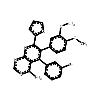 COc1ccc(-c2c(-c3cccs3)nc3ncnc(N)c3c2-c2cccc(Br)c2)cc1OC